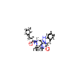 CCCCN1C(=O)C(Cc2ccccc2)NC12CCN(C(=O)CCC1CCCC1)CC2